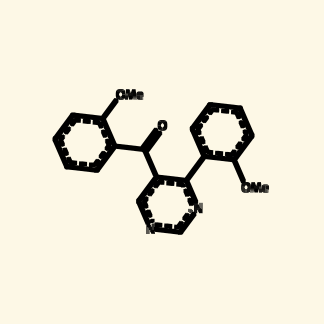 COc1ccccc1C(=O)c1cncnc1-c1ccccc1OC